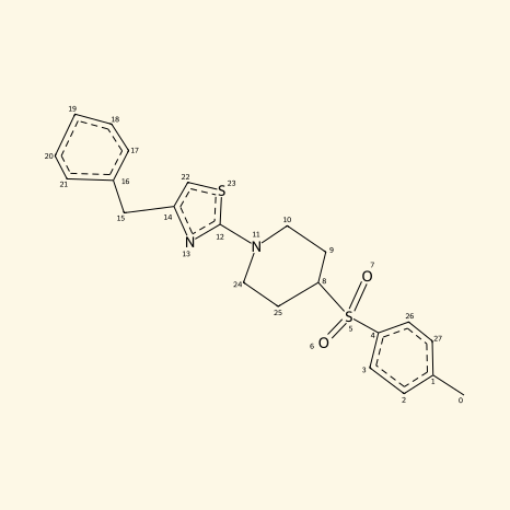 Cc1ccc(S(=O)(=O)C2CCN(c3nc(Cc4ccccc4)cs3)CC2)cc1